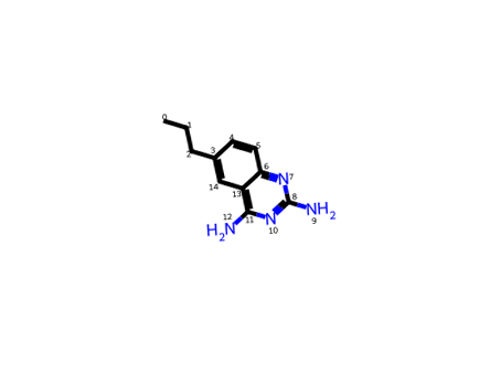 CCCc1ccc2nc(N)nc(N)c2c1